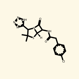 CC1(C)S[C@H]2C(NC(=O)Cc3ccc(Cl)cc3)C(=O)N2C1c1nnn[nH]1